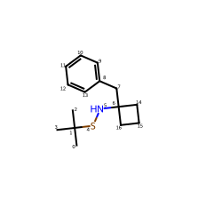 CC(C)(C)SNC1(Cc2ccccc2)CCC1